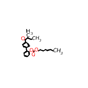 CCCCCCCCOC(=O)Oc1ccccc1-c1ccc(C(=O)C(C)CC)cc1